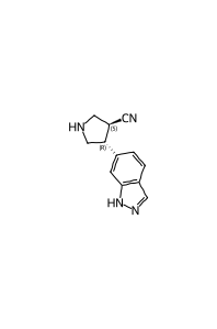 N#C[C@@H]1CNC[C@H]1c1ccc2cn[nH]c2c1